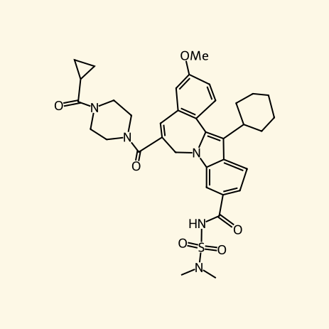 COc1ccc2c(c1)C=C(C(=O)N1CCN(C(=O)C3CC3)CC1)Cn1c-2c(C2CCCCC2)c2ccc(C(=O)NS(=O)(=O)N(C)C)cc21